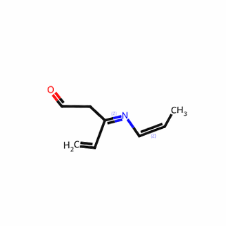 C=C/C(CC=O)=N\C=C/C